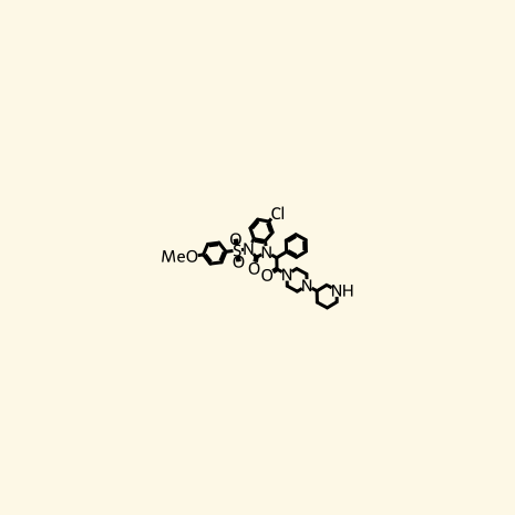 COc1ccc(S(=O)(=O)n2c(=O)n(C(C(=O)N3CCN(C4CCCNC4)CC3)c3ccccc3)c3cc(Cl)ccc32)cc1